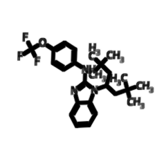 CC(C)(C)CC(CC(C)(C)C)n1c(Nc2ccc(OC(F)(F)F)cc2)nc2ccccc21